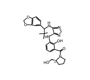 CC(C)(C)C(Nc1nsnc1Nc1cccc(C(=O)N2CCC[C@H]2CO)c1O)c1ccc2c(c1)OCO2